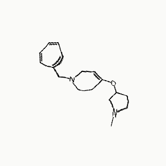 CN1CCC(OC2=CCN(Cc3ccccc3)CC2)C1